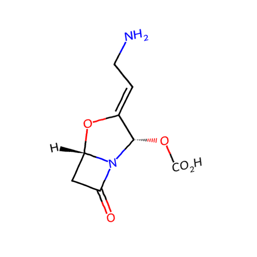 NC/C=C1\O[C@H]2CC(=O)N2[C@H]1OC(=O)O